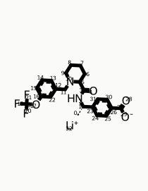 C[C@H](NC(=O)C1CCCCN1Cc1cccc(OC(F)(F)F)c1)c1ccc(C(=O)[O-])cc1.[Li+]